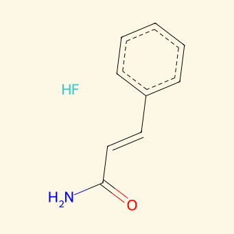 F.NC(=O)C=Cc1ccccc1